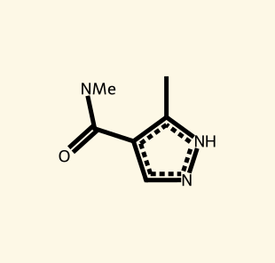 CNC(=O)c1cn[nH]c1C